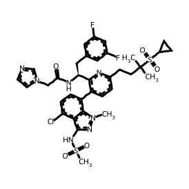 Cn1nc(NS(C)(=O)=O)c2c(Cl)ccc(-c3ccc(CCC(C)(C)S(=O)(=O)C4CC4)nc3[C@H](Cc3cc(F)cc(F)c3)NC(=O)Cn3ccnc3)c21